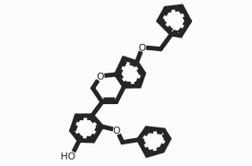 Oc1ccc(C2=Cc3ccc(OCc4ccccc4)cc3OC2)c(OCc2ccccc2)c1